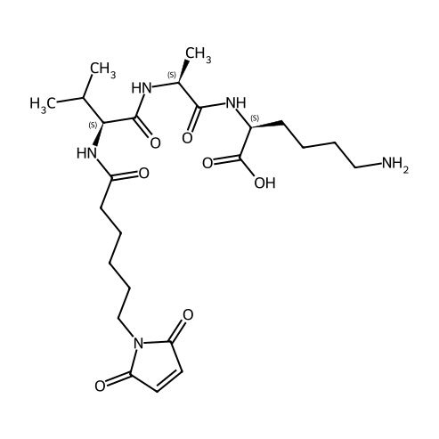 CC(C)[C@H](NC(=O)CCCCCN1C(=O)C=CC1=O)C(=O)N[C@@H](C)C(=O)N[C@@H](CCCCN)C(=O)O